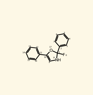 FC1(c2ccccc2)NC=C(c2ccccc2)O1